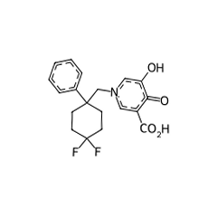 O=C(O)c1cn(CC2(c3ccccc3)CCC(F)(F)CC2)cc(O)c1=O